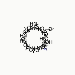 C/C=C/C[C@@H](C)[C@@H](O)[C@H]1C(=O)N[C@@H](CC)C(=O)N(C)[C@H](CSCCOCC)C(=O)N(C)[C@@H](CC(C)(C)O)C(=O)N[C@@H](C(C)C)C(=O)N(C)[C@@H](CC(C)C)C(=O)N[C@@H](C)C(=O)N[C@H](C)C(=O)N(C)[C@@H](CC(C)C)C(=O)N(C)[C@@H](CC(C)C)C(=O)N(C)[C@@H](C(C)C)C(=O)N1C